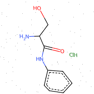 Cl.NC(CO)C(=O)Nc1ccccc1